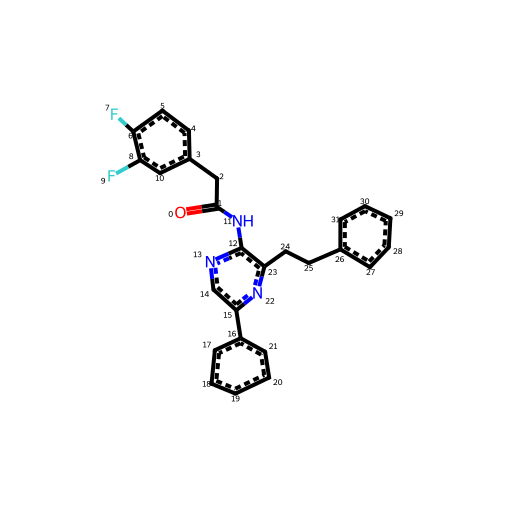 O=C(Cc1ccc(F)c(F)c1)Nc1ncc(-c2ccccc2)nc1CCc1ccccc1